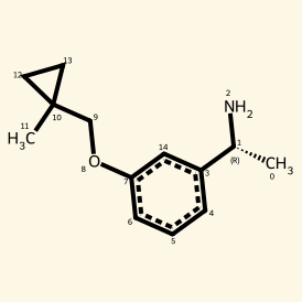 C[C@@H](N)c1cccc(OCC2(C)CC2)c1